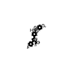 COc1ccc(S(=O)(=O)Nc2ccc(C3=NN(C(C)=O)C(c4ccc(F)cc4)C3)cc2)cc1